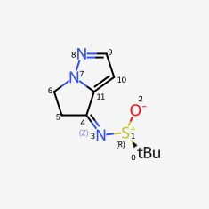 CC(C)(C)[S@+]([O-])/N=C1/CCn2nccc21